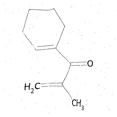 C=C(C)C(=O)C1=CCCCC1